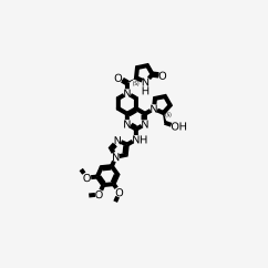 COc1cc(-n2cnc(Nc3nc4c(c(N5CCC[C@H]5CO)n3)CN(C(=O)[C@@H]3CCC(=O)N3)CC4)c2)cc(OC)c1OC